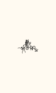 CCC[CH2][Sn]([CH2]CCC)([CH2]CCC)[c]1ccc(N2CCN(C)[C@@H](C)C2)c(NC(=O)c2cnc(OCC[Si](C)(C)C)cc2CF)c1